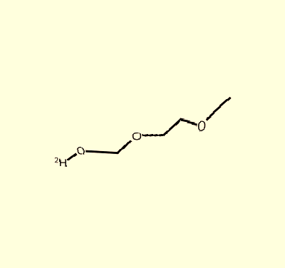 [2H]OCOCCOC